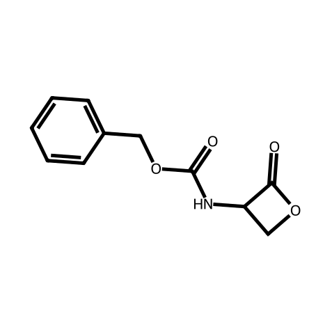 O=C(NC1COC1=O)OCc1ccccc1